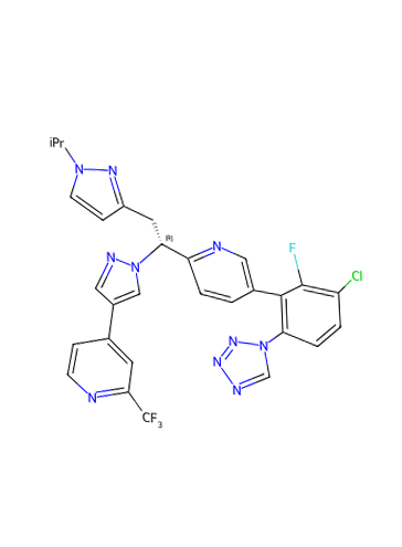 CC(C)n1ccc(C[C@H](c2ccc(-c3c(-n4cnnn4)ccc(Cl)c3F)cn2)n2cc(-c3ccnc(C(F)(F)F)c3)cn2)n1